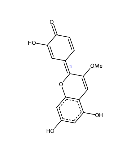 COC1=Cc2c(O)cc(O)cc2O/C1=C1/C=CC(=O)C(O)=C1